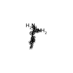 [CH2]C(COC(=O)C=Cc1ccc(OC(F)(F)C2CCCC(CCCCC)C2)cc1)(Cc1ccc(N)cc1)Cc1ccc(N)cc1